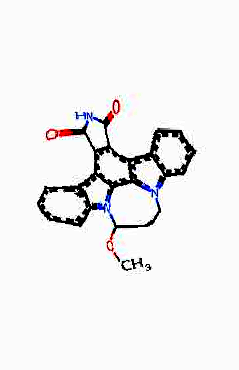 COC1CCn2c3ccccc3c3c4c(c5c6ccccc6n1c5c32)C(=O)NC4=O